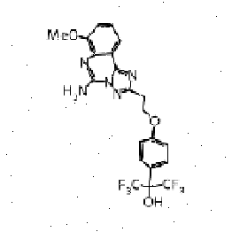 COc1cccc2c1nc(N)n1nc(CCOc3ccc(C(O)(C(F)(F)F)C(F)(F)F)cc3)nc21